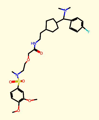 COc1ccc(S(=O)(=O)N(C)CCOCC(=O)NCCC2CCC(C(c3ccc(F)cc3)N(C)C)CC2)cc1OC